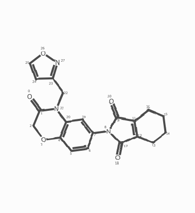 O=C1COc2ccc(N3C(=O)C4=C(CCCC4)C3=O)cc2N1Cc1ccon1